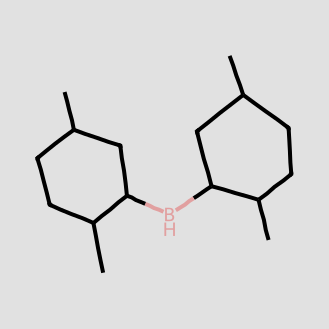 CC1CCC(C)C(BC2CC(C)CCC2C)C1